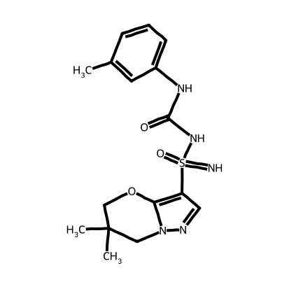 Cc1cccc(NC(=O)NS(=N)(=O)c2cnn3c2OCC(C)(C)C3)c1